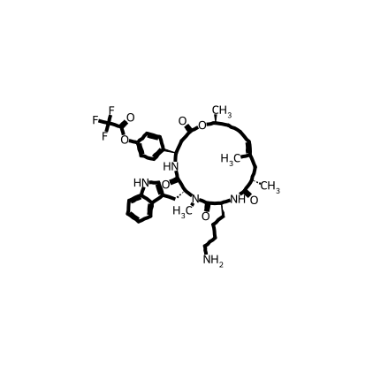 C/C1=C\CC[C@H](C)OC(=O)C[C@H](c2ccc(OC(=O)C(F)(F)F)cc2)NC(=O)[C@@H](Cc2c[nH]c3ccccc23)N(C)C(=O)[C@H](CCCCN)NC(=O)[C@@H](C)C1